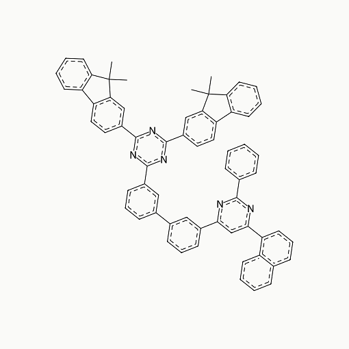 CC1(C)c2ccccc2-c2ccc(-c3nc(-c4cccc(-c5cccc(-c6cc(-c7cccc8ccccc78)nc(-c7ccccc7)n6)c5)c4)nc(-c4ccc5c(c4)C(C)(C)c4ccccc4-5)n3)cc21